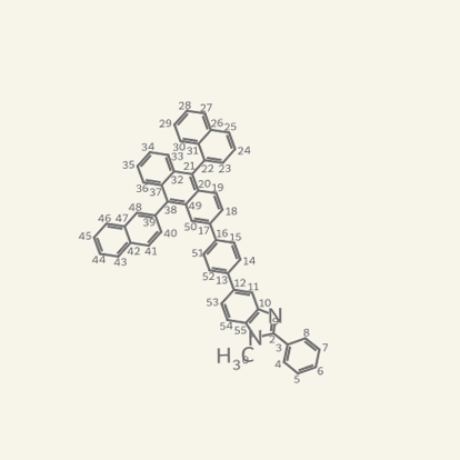 Cn1c(-c2ccccc2)nc2cc(-c3ccc(-c4ccc5c(-c6cccc7ccccc67)c6ccccc6c(-c6ccc7ccccc7c6)c5c4)cc3)ccc21